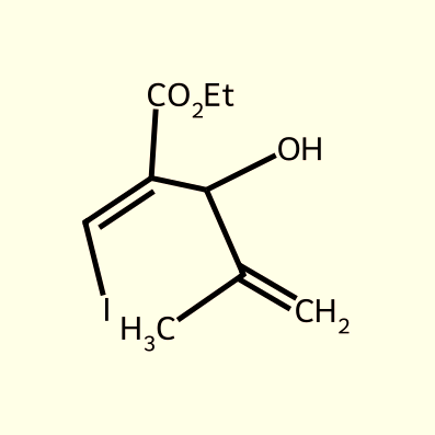 C=C(C)C(O)C(=CI)C(=O)OCC